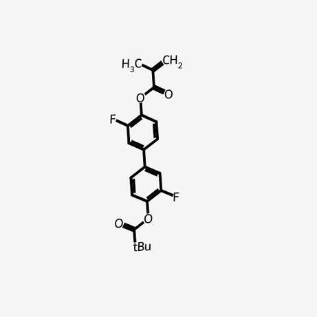 C=C(C)C(=O)Oc1ccc(-c2ccc(OC(=O)C(C)(C)C)c(F)c2)cc1F